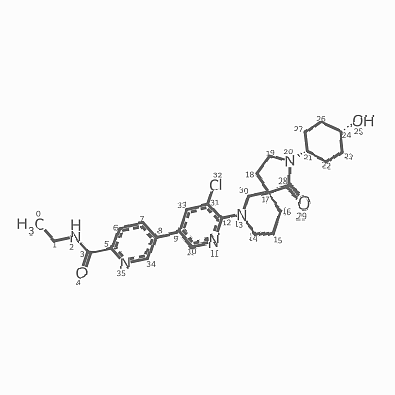 CCNC(=O)c1ccc(-c2cnc(N3CCC[C@]4(CCN([C@H]5CC[C@@H](O)CC5)C4=O)C3)c(Cl)c2)cn1